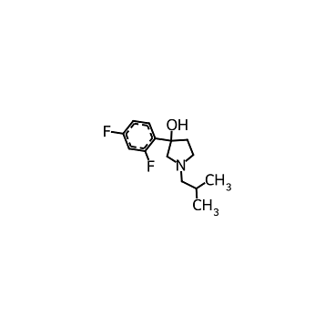 CC(C)CN1CCC(O)(c2ccc(F)cc2F)C1